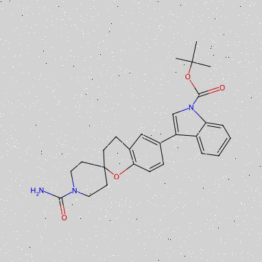 CC(C)(C)OC(=O)n1cc(-c2ccc3c(c2)CCC2(CCN(C(N)=O)CC2)O3)c2ccccc21